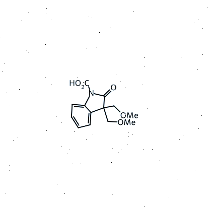 COCC1(COC)C(=O)N(C(=O)O)c2ccccc21